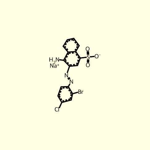 Nc1c(N=Nc2ccc(Cl)cc2Br)cc(S(=O)(=O)[O-])c2ccccc12.[Na+]